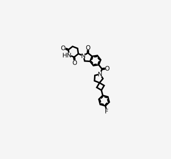 O=C1CCC(N2Cc3cc(C(=O)N4CCC5(CC(c6ccc(F)cc6)C5)C4)ccc3C2=O)C(=O)N1